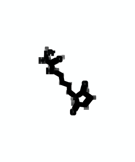 CCCNC(=O)NCCCCN1C(=O)C=CC1=O